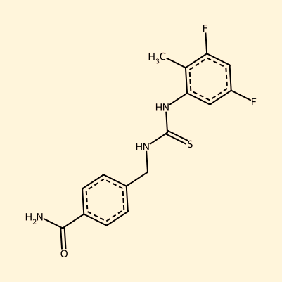 Cc1c(F)cc(F)cc1NC(=S)NCc1ccc(C(N)=O)cc1